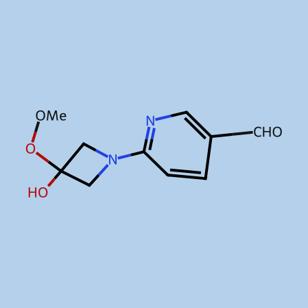 COOC1(O)CN(c2ccc(C=O)cn2)C1